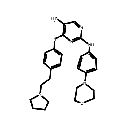 Bc1cnc(Nc2ccc(N3CCOCC3)cc2)nc1Nc1ccc(CCN2CCCC2)cc1